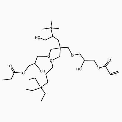 C=CC(=O)OCC(O)COCC(COCCC[N+](CC)(CC)CC)(COCC(O)COC(=O)CC)CC(CO)[N+](C)(C)C